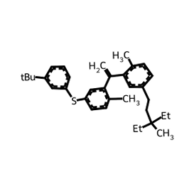 C=C(c1cc(CCC(C)(CC)CC)ccc1C)c1cc(Sc2cccc(C(C)(C)C)c2)ccc1C